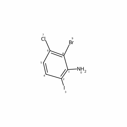 Nc1c(I)ccc(Cl)c1Br